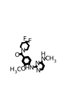 CNc1ccnc(Nc2ccc(C(=O)N3CCC(F)(F)CC3)cc2OC)n1